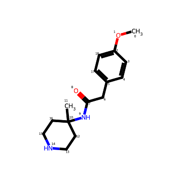 COc1ccc(CC(=O)NC2(C)CCNCC2)cc1